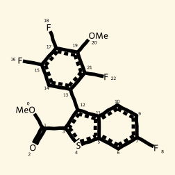 COC(=O)c1sc2cc(F)ccc2c1-c1cc(F)c(F)c(OC)c1F